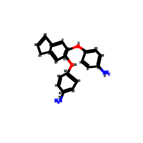 Nc1ccc(Oc2cc3c(cc2Oc2ccc(N)cc2)CC=C3)cc1